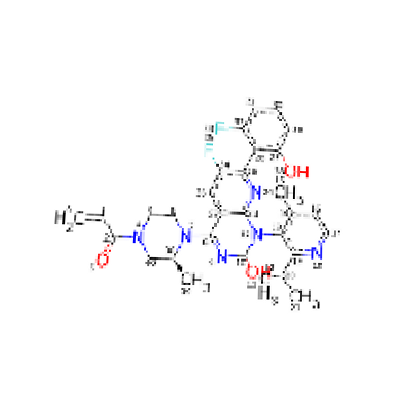 C=CC(=O)N1CCN(C2=NC(O)N(c3c(C)ccnc3C(C)C)c3nc(-c4c(O)cccc4F)c(F)cc32)[C@@H](C)C1